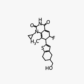 CC1=c2c(c(=O)[nH]c(=O)n2C2CC2)=CC(F)C1c1cc2c(s1)CCC(CO)C2